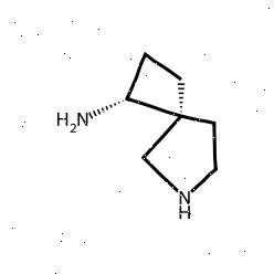 N[C@@H]1CC[C@@]12CCNC2